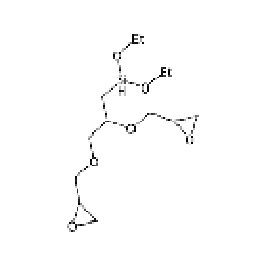 CCO[SiH](CC(COCC1CO1)OCC1CO1)OCC